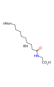 CCCCCCCCCCCCCCCCCC(=O)NCC(=O)O.[KH]